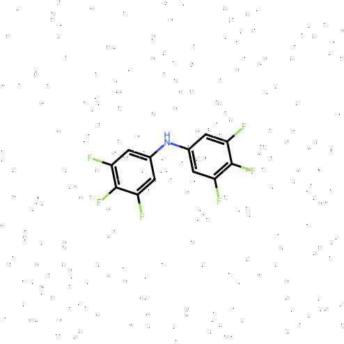 Fc1cc(Nc2cc(F)c(F)c(F)c2)cc(F)c1F